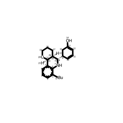 CCC(C)c1cccc2c1N[C@@H](C1C=CC=C(O)C1)[C@@H]1CCCO[C@H]21